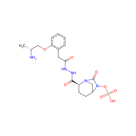 C[C@@H](N)COc1ccccc1CC(=O)NNC(=O)[C@@H]1CCC2CN1C(=O)N2OS(=O)(=O)O